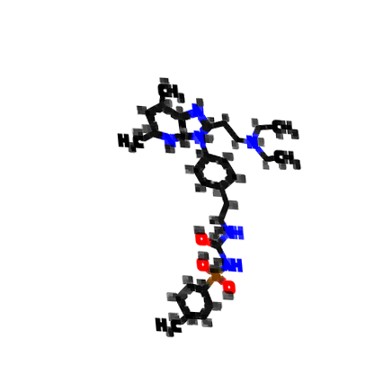 CCN(CC)CCc1nc2c(C)cc(C)nc2n1-c1ccc(CCNC(=O)NS(=O)(=O)c2ccc(C)cc2)cc1